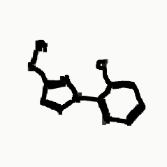 CC(C)Sc1c[c]n(-c2ncccc2Cl)n1